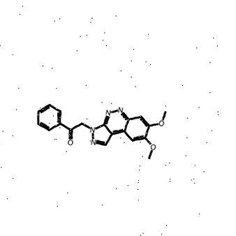 COc1cc2nnc3c(cnn3CC(=O)c3ccccc3)c2cc1OC